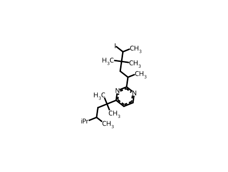 CC(CC(C)(C)C(C)I)c1nccc(C(C)(C)CC(C)C(C)C)n1